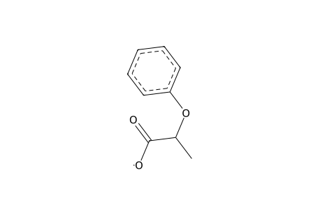 CC(Oc1ccccc1)C([O])=O